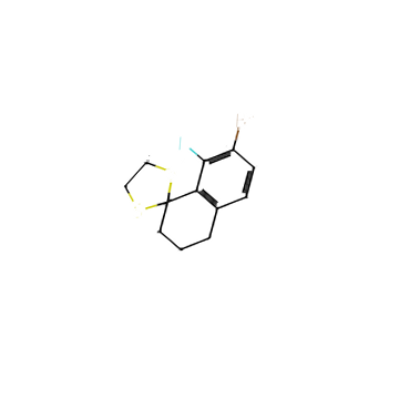 Fc1c(Br)ccc2c1C1(CCC2)SCCS1